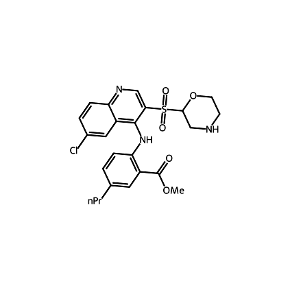 CCCc1ccc(Nc2c(S(=O)(=O)C3CNCCO3)cnc3ccc(Cl)cc23)c(C(=O)OC)c1